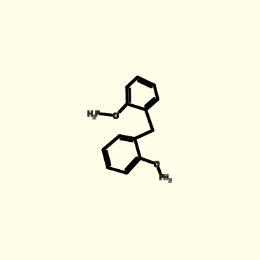 POc1ccccc1Cc1ccccc1OP